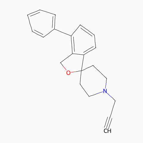 C#CCN1CCC2(CC1)OCc1c(-c3ccccc3)cccc12